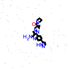 Nc1nc2cc(-c3ccn[nH]3)ccc2c2nn(CC3(C(=O)N4CCCC4)CC3)cc12